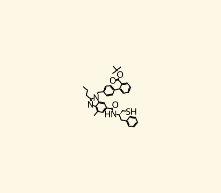 CCCc1nc2c(C)cc(C(=O)N[C@@H](CS)Cc3ccccc3)cc2n1Cc1ccc(-c2ccccc2C(=O)OC(C)(C)C)cc1